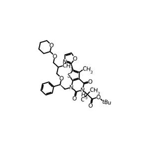 Cc1c(-c2ncco2)sc2c1c(=O)n(C(C)(C)C(=O)OC(C)(C)C)c(=O)n2C[C@H](OCC(C)COC1CCCCO1)c1ccccc1